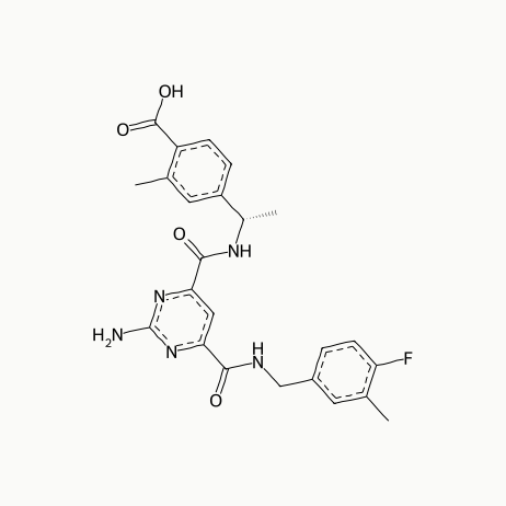 Cc1cc(CNC(=O)c2cc(C(=O)N[C@@H](C)c3ccc(C(=O)O)c(C)c3)nc(N)n2)ccc1F